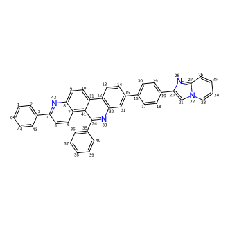 c1ccc(-c2ccc3c(ccc4c5ccc(-c6ccc(-c7cn8ccccc8n7)cc6)cc5nc(-c5ccccc5)c34)n2)cc1